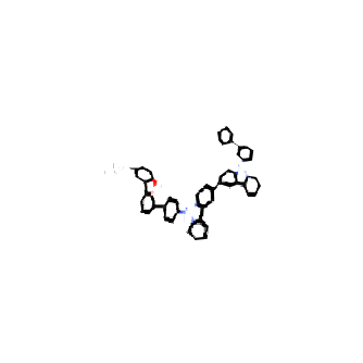 CCCCc1ccc2oc3c(-c4ccc(-n5c6ccccc6c6cc(-c7ccc8c(c7)c7ccccc7n8-c7cccc(-c8ccccc8)c7)ccc65)cc4)cccc3c2c1